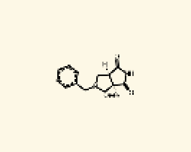 CO[C@]12CN(Cc3ccccc3)C[C@H]1C(=O)NC2=O